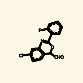 O=CC1OC(c2ccccc2F)=Nc2cc(Cl)ccc21